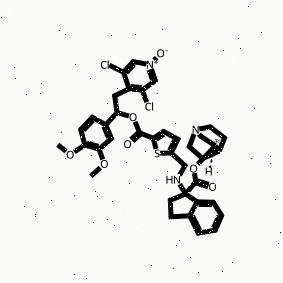 COc1ccc(C(Cc2c(Cl)c[n+]([O-])cc2Cl)OC(=O)c2ccc(CNC3(C(=O)O[C@H]4CN5CCC4CC5)CCc4ccccc43)s2)cc1OC